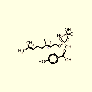 CC(C)=CCC/C(C)=C/COP(=O)(O)OP(=O)(O)O.O=C(O)c1ccc(O)cc1